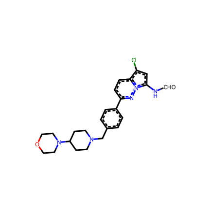 O=CNc1cc(Cl)c2ccc(-c3ccc(CN4CCC(N5CCOCC5)CC4)cc3)nn12